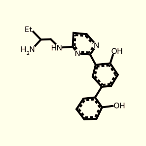 CCC(N)CNc1ccnc(-c2cc(-c3ccccc3O)ccc2O)n1